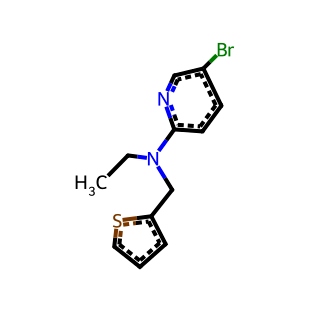 CCN(Cc1cccs1)c1ccc(Br)cn1